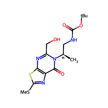 CSc1nc2c(=O)n([C@H](C)CNC(=O)OC(C)(C)C)c(CO)nc2s1